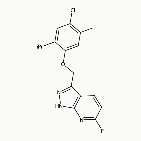 Cc1cc(OCc2n[nH]c3nc(F)ccc23)c(C(C)C)cc1Cl